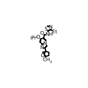 CCc1ncsc1NC(=O)c1cn2cc(C34CCC(C)(C3)OC4)nc2cc1OC(C)C